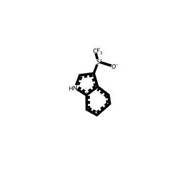 [O-][S+](c1c[nH]c2ccccc12)C(F)(F)F